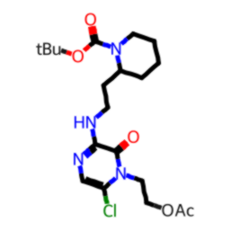 CC(=O)OCCn1c(Cl)cnc(NCCC2CCCCN2C(=O)OC(C)(C)C)c1=O